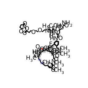 COc1cc2cc(c1Cl)N(C)C(=O)C[C@H](OC(=O)[C@H](C)N(C)C(=O)c1ccc(NC(=O)[C@H](CCCNC(N)=O)NC(=O)[C@@H](NC(=S)NCCOCCOCCC(=O)ON3C(=O)CCC3=O)C(C)C)cc1C(F)(F)F)[C@]1(C)O[C@H]1[C@H](C)[C@@H]1C[C@@](O)(NC(=O)O1)[C@H](OC)/C=C/C=C(\C)C2